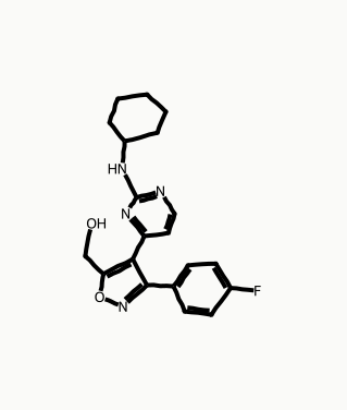 OCc1onc(-c2ccc(F)cc2)c1-c1ccnc(NC2CCCCC2)n1